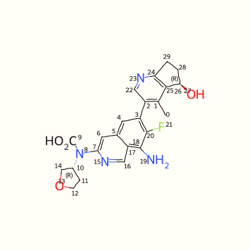 Cc1c(-c2cc3cc(N(C(=O)O)[C@@H]4CCOC4)ncc3c(N)c2F)cnc2c1[C@H](O)CC2